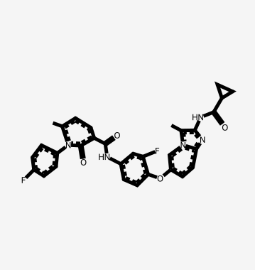 Cc1ccc(C(=O)Nc2ccc(Oc3ccc4nc(NC(=O)C5CC5)c(C)n4c3)c(F)c2)c(=O)n1-c1ccc(F)cc1